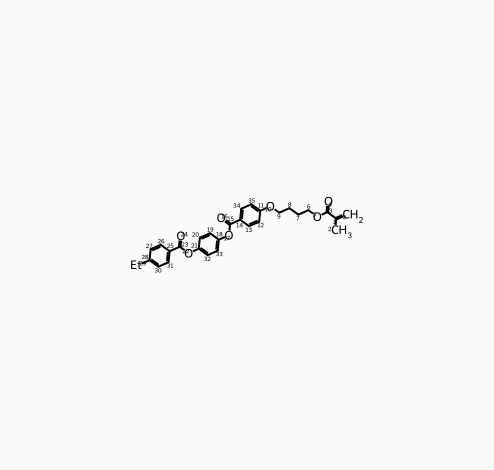 C=C(C)C(=O)OCCCCOc1ccc(C(=O)Oc2ccc(OC(=O)c3ccc(CC)cc3)cc2)cc1